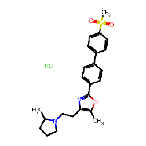 Cc1oc(-c2ccc(-c3ccc(S(=O)(=O)C(F)(F)F)cc3)cc2)nc1CCN1CCCC1C.Cl